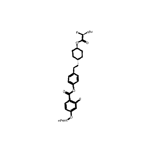 CCCCCOc1ccc(C(=O)Oc2ccc(CC[C@H]3CC[C@H](OC(=O)[C@@H](F)CCCC)CC3)cc2)c(F)c1